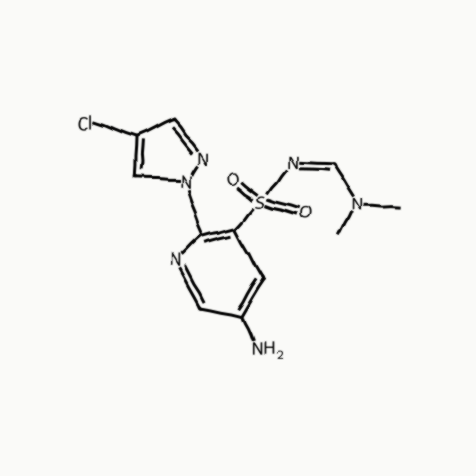 CN(C)/C=N\S(=O)(=O)c1cc(N)cnc1-n1cc(Cl)cn1